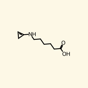 O=C(O)CCCCCNC1=CC1